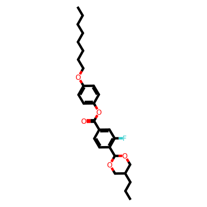 CCCCCCCCOc1ccc(OC(=O)c2ccc(C3OCC(CCC)CO3)c(F)c2)cc1